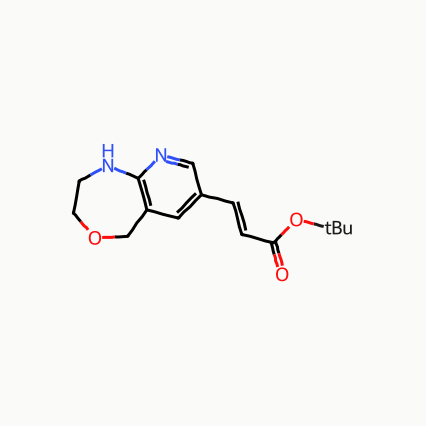 CC(C)(C)OC(=O)C=Cc1cnc2c(c1)COCCN2